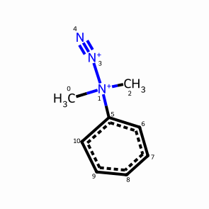 C[N+](C)([N+]#N)c1ccccc1